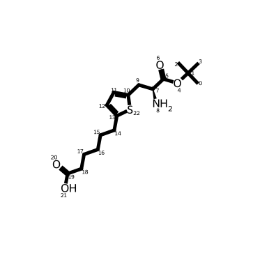 CC(C)(C)OC(=O)[C@@H](N)Cc1ccc(CCCCCC(=O)O)s1